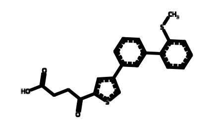 CSc1ccccc1-c1cccc(-c2csc(C(=O)CCC(=O)O)c2)c1